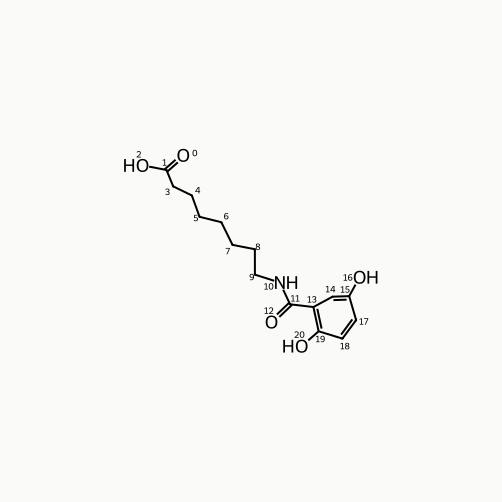 O=C(O)CCCCCCCNC(=O)c1cc(O)ccc1O